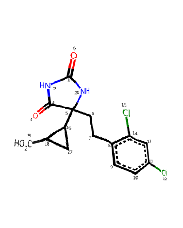 O=C1NC(=O)C(CCc2ccc(Cl)cc2Cl)(C2CC2C(=O)O)N1